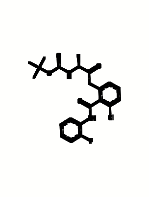 C[C@H](NC(=O)OC(C)(C)C)C(=O)Cc1cccc(Cl)c1C(=O)Nc1ccccc1F